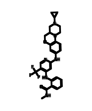 CNC(=O)c1ccccc1Nc1cc(Nc2ccc3c(c2)OCC2CN(C4CC4)CCN32)ncc1C(F)(F)F